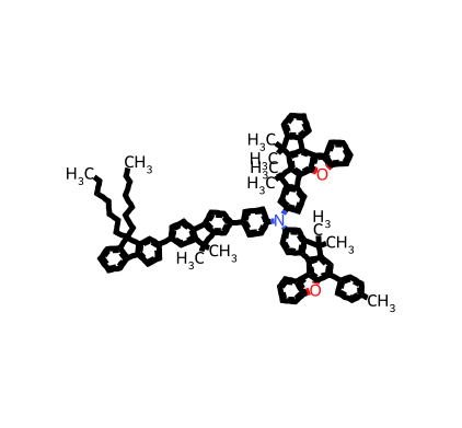 CCCCCCCC1(CCCCCCC)c2ccccc2-c2ccc(-c3ccc4c(c3)C(C)(C)c3cc(-c5ccc(N(c6ccc7c(c6)C(C)(C)c6cc(-c8ccc(C)cc8)c8oc9ccccc9c8c6-7)c6ccc7c(c6)C(C)(C)c6c8c(c9c(oc%10ccccc%109)c6-7)-c6ccccc6C8(C)C)cc5)ccc3-4)cc21